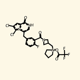 O=C(c1cc(Cc2c[nH]c(=O)c3cc(Cl)c(Cl)n23)ccc1F)N1CC(C[N+]2(OC(=O)C(F)(F)F)CCCC2)C1